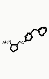 CNC1CCCC1COc1ccc(Cc2ccccc2)cc1